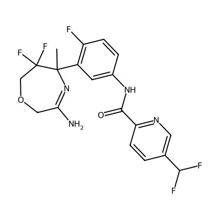 CC1(c2cc(NC(=O)c3ccc(C(F)F)cn3)ccc2F)N=C(N)COCC1(F)F